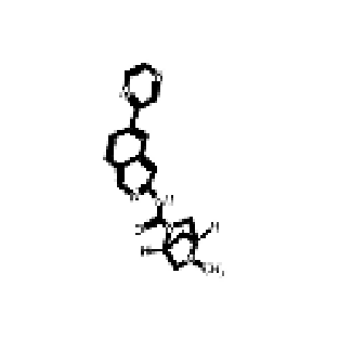 CN1C[C@H]2C[C@@H]1CN2C(=O)Nc1cc2cc(-c3cnccn3)ccc2cn1